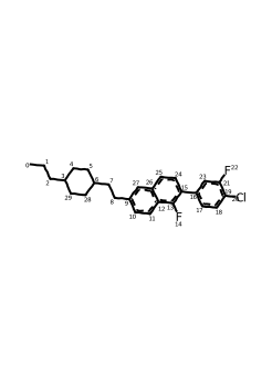 CCCC1CCC(CCc2ccc3c(F)c(-c4ccc(Cl)c(F)c4)ccc3c2)CC1